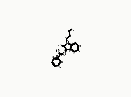 CCCCN1C(=O)C(OC(=O)c2ccccc2)c2ccccc21